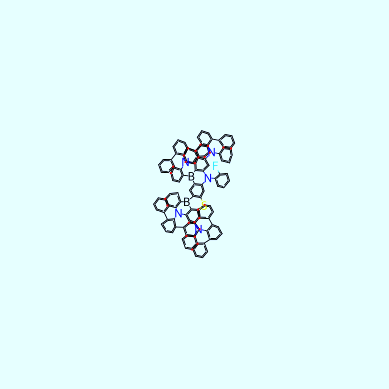 Fc1ccccc1N1c2cc3c(cc2B2c4ccccc4N(c4c(-c5ccccc5)cccc4-c4ccccc4)c4cc(N(c5ccccc5)c5c(-c6ccccc6)cccc5-c5ccccc5)cc1c42)B1c2ccccc2N(c2c(-c4ccccc4)cccc2-c2ccccc2)c2cc(N(c4ccccc4)c4c(-c5ccccc5)cccc4-c4ccccc4)cc(c21)S3